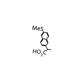 CSc1ccc2cc(C(C)C(=O)O)ccc2c1